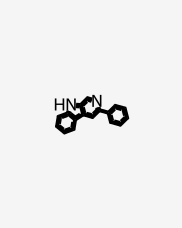 c1ccc(-c2cc3c(cn2)[nH]c2ccccc23)cc1